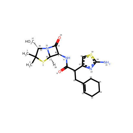 CC1(C)S[C@@H]2[C@H](NC(=O)C(CC3=CCCCC3)c3csc(N)n3)C(=O)N2[C@H]1C(=O)O